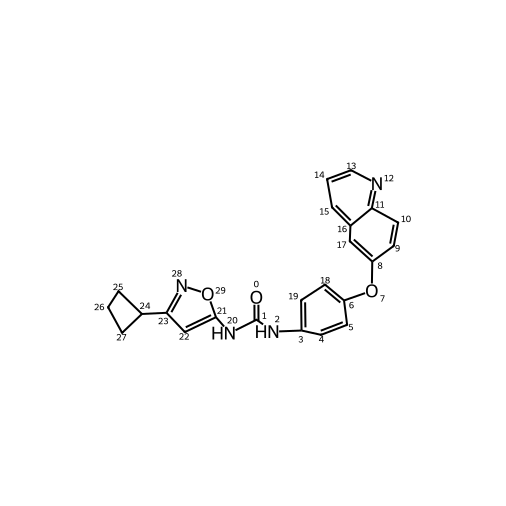 O=C(Nc1ccc(Oc2ccc3ncccc3c2)cc1)Nc1cc(C2CCC2)no1